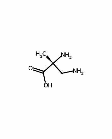 C[C@@](N)(CN)C(=O)O